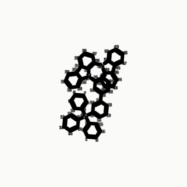 c1ccc([Si](c2ccccc2)(c2ccccc2)c2cccc(-c3ccnc(-n4c5ccccc5c5cccc(-n6c7ccccc7c7ccccc76)c54)c3)c2)cc1